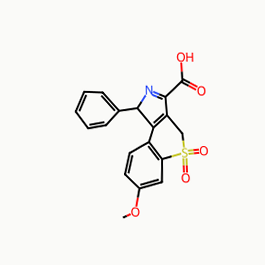 COc1ccc2c(c1)S(=O)(=O)CC1=C2C(c2ccccc2)N=C1C(=O)O